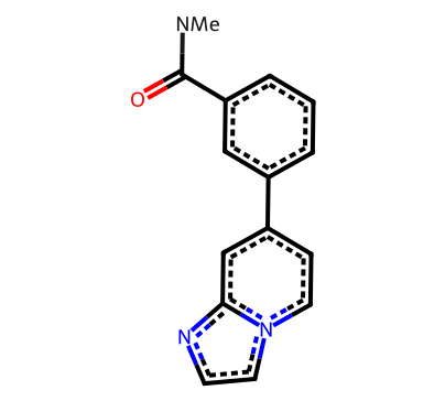 CNC(=O)c1cccc(-c2ccn3ccnc3c2)c1